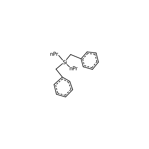 CCC[Si](CCC)(Cc1ccccc1)Cc1ccccc1